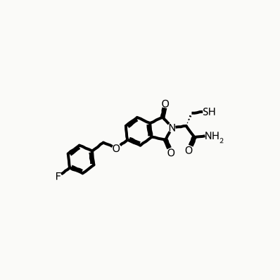 NC(=O)[C@@H](CS)N1C(=O)c2ccc(OCc3ccc(F)cc3)cc2C1=O